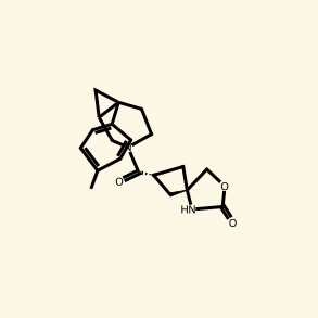 Cc1ccc(C23CCN(C(=O)[C@H]4C[C@]5(COC(=O)N5)C4)CC2C3)cc1